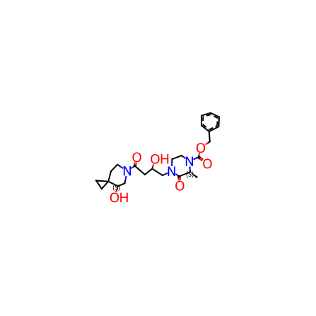 C[C@H]1C(=O)N(CC(O)CC(=O)N2CCC3(CC3)[C@H](O)C2)CCN1C(=O)OCc1ccccc1